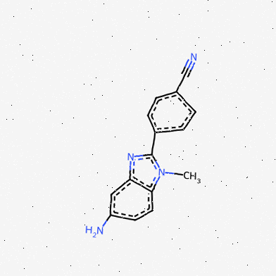 Cn1c(-c2ccc(C#N)cc2)nc2cc(N)ccc21